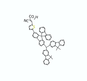 CC1(C)c2ccccc2-c2ccc(C(c3ccc4c(c3)C(C)(C)c3ccccc3-4)c3ccc4c(c3)C3(c5ccccc5-c5ccccc53)c3cc(-c5ccc(/C=C(\C#N)C(=O)O)s5)ccc3-4)cc21